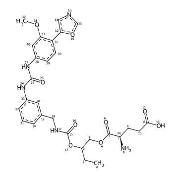 CCC(COC(=O)[C@H](N)CCC(=O)O)OC(=O)NCc1cccc(NC(=O)Nc2ccc(-c3cnco3)c(OC)c2)c1